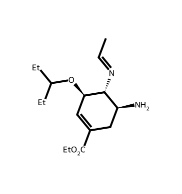 C/C=N/[C@@H]1[C@@H](N)CC(C(=O)OCC)=C[C@H]1OC(CC)CC